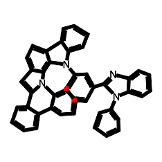 c1ccc(-n2c(-c3cccc(-n4c5ccccc5c5ccc6cc7c8ccccc8c8ccccc8n7c6c54)c3)nc3ccccc32)cc1